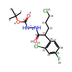 CC(C)(C)OC(=O)NNC(=O)C(CCCCl)c1ccc(F)cc1Cl